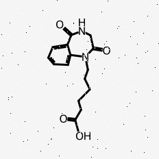 O=C(O)CCCCCN1C(=O)CNC(=O)c2ccccc21